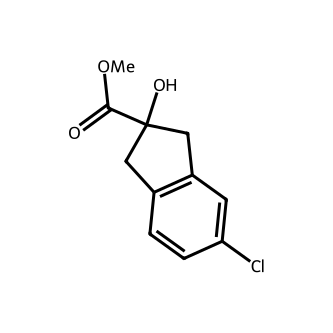 COC(=O)C1(O)Cc2ccc(Cl)cc2C1